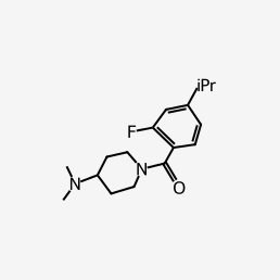 CC(C)c1ccc(C(=O)N2CCC(N(C)C)CC2)c(F)c1